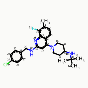 Cc1ccc2c(N3CCC(NC(C)(C)C)CC3)cc(NCc3ccc(Cl)cc3)nc2c1F